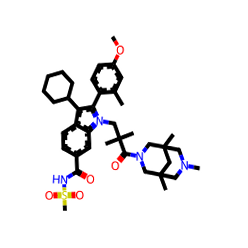 COc1ccc(-c2c(C3CCCCC3)c3ccc(C(=O)NS(C)(=O)=O)cc3n2CC(C)(C)C(=O)N2CC3(C)CN(C)CC(C)(C2)C3)c(C)c1